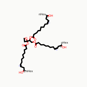 CCCCCC[C@@H](O)C/C=C\CCCCCCCC(=O)OCC(OC(=O)CCCCCCC/C=C\C[C@H](O)CCCCCC)C1(OC(=O)CCCCCCC/C=C\C[C@H](O)CCCCCC)CCO1